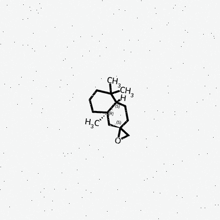 CC1(C)CCC[C@]2(C)C[C@@]3(CC[C@@H]12)CO3